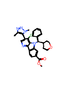 COC(=O)c1ccc2c3ncc(-c4c(C)nnn4C)c(Cl)c3n(C(c3ccccc3)C3CCOCC3)c2c1